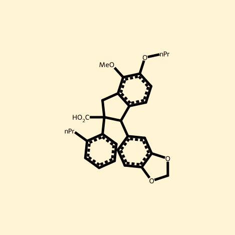 CCCOc1ccc2c(c1OC)CC(C(=O)O)(c1ccccc1CCC)C2c1ccc2c(c1)OCO2